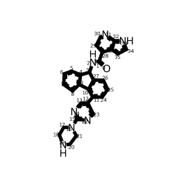 O=C(NC1c2ccccc2-c2c(-c3cnc(N4CCNCC4)nc3)cccc21)c1ccnc2[nH]ccc12